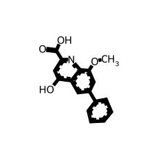 COc1cc(-c2ccccc2)cc2c(O)cc(C(=O)O)nc12